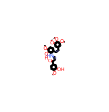 COc1ccc(C(=O)/C=C\Nc2c(/C=C\c3cc(OC)c(OC)c(OC)c3)ccc(OC)c2O)cc1O